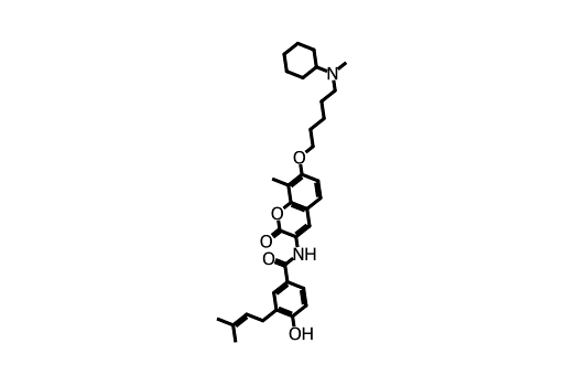 CC(C)=CCc1cc(C(=O)Nc2cc3ccc(OCCCCCN(C)C4CCCCC4)c(C)c3oc2=O)ccc1O